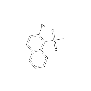 CS(=O)(=O)c1c(O)ccc2ccccc12